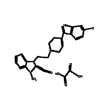 NN1C(=C=O)C(CCN2CC=C(c3c[nH]c4cc(Cl)ccc34)CC2)c2ccccc21.O=C(O)C(=O)O